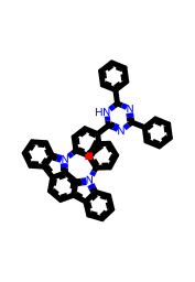 c1ccc(C2=NC(c3ccccc3)NC(c3ccc(-n4c5ccccc5c5ccc6c7ccccc7n(-c7ccccc7)c6c54)cc3)=N2)cc1